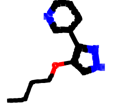 CCCCOc1c[nH]nc1-c1cccnc1